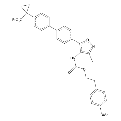 CCOC(=O)C1(c2ccc(-c3ccc(-c4onc(C)c4NC(=O)OCCc4ccc(OC)cc4)cc3)cc2)CC1